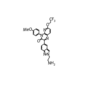 COc1ccc(-n2c(=O)c(-c3ccc4nn(CCN)cc4c3)nc3ccc(OCC(F)(F)F)nc32)cc1